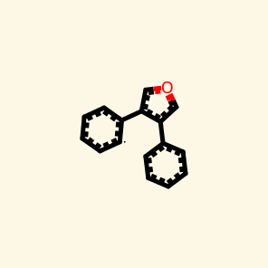 [c]1ccccc1-c1cocc1-c1ccccc1